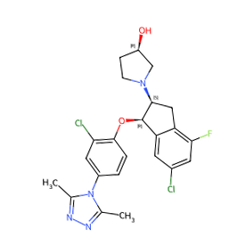 Cc1nnc(C)n1-c1ccc(O[C@@H]2c3cc(Cl)cc(F)c3C[C@@H]2N2CC[C@@H](O)C2)c(Cl)c1